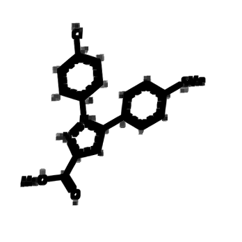 COC(=O)c1cc(-c2ccc(SC)cc2)n(-c2ccc(Cl)cc2)n1